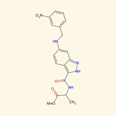 COC(=O)C(C)NC(=O)c1[nH]nc2cc(NCc3cccc([N+](=O)[O-])c3)ccc12